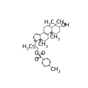 Cc1ccc(S(=O)(=O)OC[C@@H](C)[C@H]2CC=C3C4=C(CC[C@@]32C)[C@@]2(C)CCC(O)C(C)(C)C2CC4)cc1